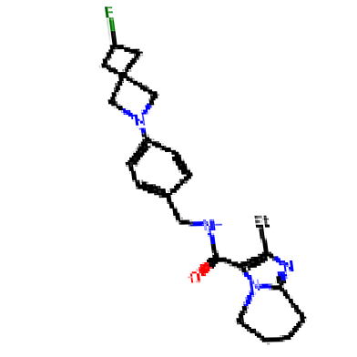 CCc1nc2n(c1C(=O)NCc1ccc(N3CC4(CC(F)C4)C3)cc1)CCCC2